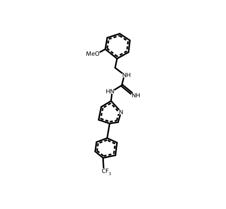 COc1ccccc1CNC(=N)Nc1ccc(-c2ccc(C(F)(F)F)cc2)cn1